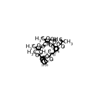 C=C(C)C(=O)Oc1ccc(/C=C(\C)C(=O)OC23CC4CC(C2)CC(C(=O)OC2=C(C)C(C)OC2=O)(C4)C3)cc1C(=O)OC1=C(C)C(C)OC1O